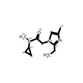 CCc1nc(I)cn1CC(=O)N(C)C1CC1